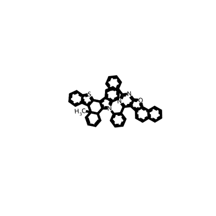 CC12C=CC=CC1c1c(c3ccccc3n1-c1ccccc1-c1nc(-c3ccccc3)nc3oc4c5ccccc5ccc4c13)-c1sc3ccccc3c12